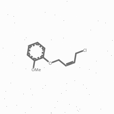 COc1c[c]ccc1OC/C=C\CCl